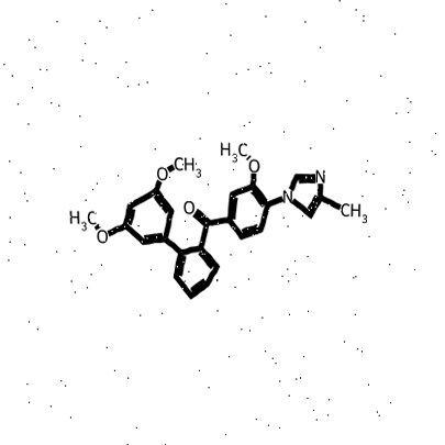 COc1cc(OC)cc(-c2ccccc2C(=O)c2ccc(-n3cnc(C)c3)c(OC)c2)c1